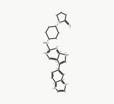 O=C1CCCN1[C@H]1CC[C@@H](Nc2ncc3c(-c4ccc5nccnc5c4)c[nH]c3n2)CC1